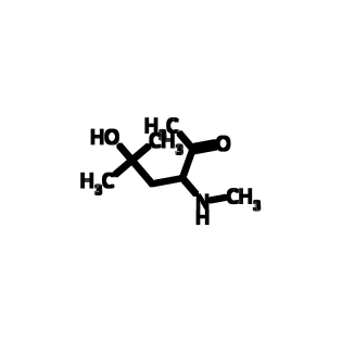 CNC(CC(C)(C)O)C(C)=O